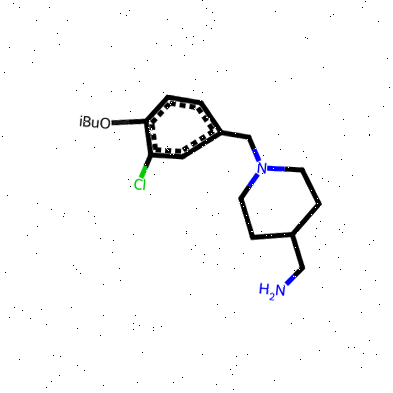 CC(C)COc1ccc(CN2CCC(CN)CC2)cc1Cl